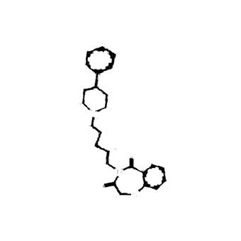 O=C1CSc2ccccc2C(=O)N1CCCCCN1CCC(c2ccccc2)CC1